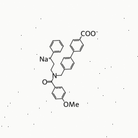 COc1ccc(C(=O)N(CCCc2ccccc2)Cc2ccc(-c3ccc(C(=O)[O-])cc3)cc2)cc1.[Na+]